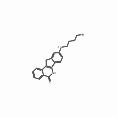 O=c1[nH]c2c(c3ccccc13)Cc1cc(NCCCCBr)ccc1-2